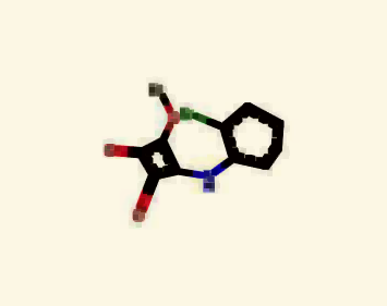 CCOc1c(Nc2ccccc2Br)c(=O)c1=O